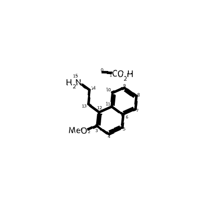 CC(=O)O.COc1ccc2ccccc2c1CCN